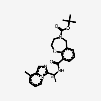 Cc1cccn2c([C@H](C)NC(=O)c3cccc4c3OCCN(C(=O)OC(C)(C)C)C4)ncc12